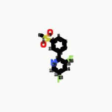 CS(=O)(=O)c1[c]ccc(-c2ncc(F)cc2F)c1